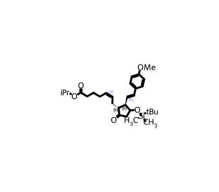 COc1ccc(/C=C/[C@H]2C(O[Si](C)(C)C(C)(C)C)CC(=O)[C@@H]2C/C=C\CCCC(=O)OC(C)C)cc1